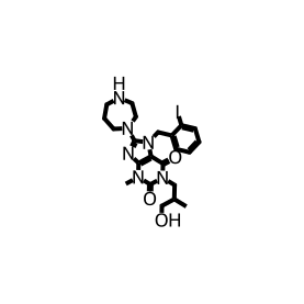 CC(CO)Cn1c(=O)c2c(nc(N3CCCNCC3)n2Cc2ccccc2I)n(C)c1=O